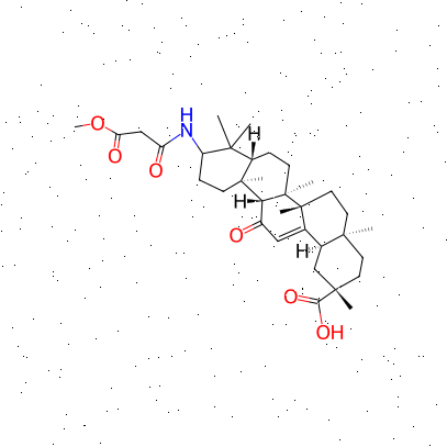 COC(=O)CC(=O)NC1CC[C@]2(C)[C@H]3C(=O)C=C4[C@@H]5C[C@@](C)(C(=O)O)CC[C@]5(C)CC[C@@]4(C)[C@]3(C)CC[C@H]2C1(C)C